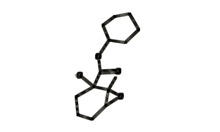 CC12OC1CCCC2([O])C(=O)OC1CCCCC1